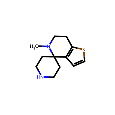 CN1CCc2sccc2C12CCNCC2